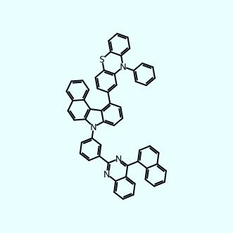 c1ccc(N2c3ccccc3Sc3ccc(-c4cccc5c4c4c6ccccc6ccc4n5-c4cccc(-c5nc(-c6cccc7ccccc67)c6ccccc6n5)c4)cc32)cc1